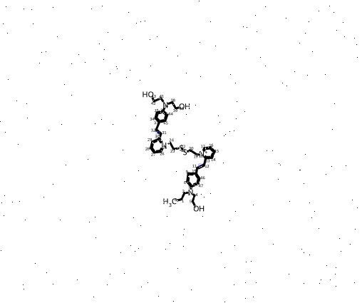 CCCN(CCO)c1ccc(/C=C/c2cccc[n+]2CCSSCC[n+]2ccccc2/C=C/c2ccc(N(CCO)CCO)cc2)cc1